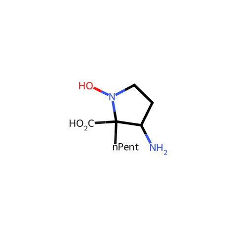 CCCCCC1(C(=O)O)C(N)CCN1O